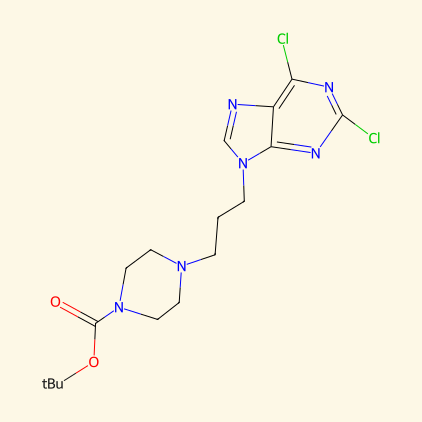 CC(C)(C)OC(=O)N1CCN(CCCn2cnc3c(Cl)nc(Cl)nc32)CC1